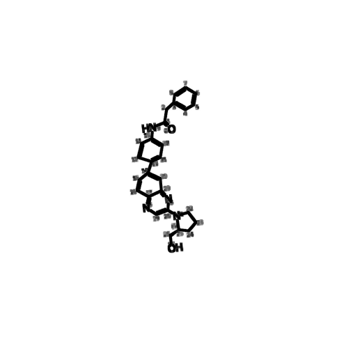 O=C(Cc1ccccc1)Nc1ccc(-c2ccc3ncc(N4CCC[C@H]4CO)nc3c2)cc1